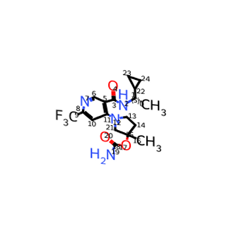 C[C@H](NC(=O)c1cnc(C(F)(F)F)cc1N1CCC(C)(OC(N)=O)C1)C1CC1